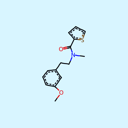 COc1cccc(CCN(C)C(=O)c2cccs2)c1